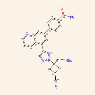 N#CC[C@]1(n2ncc(-c3cc(-c4ccc(C(N)=O)cc4)cc4ncccc34)n2)C[C@H](C#N)C1